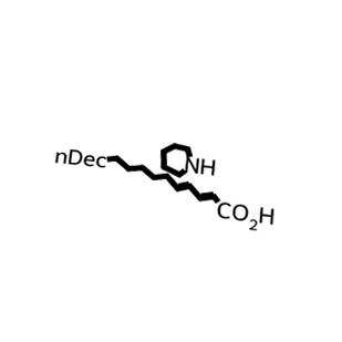 C1CCNCC1.CCCCCCCCCCCCCCCC=CC=CC(=O)O